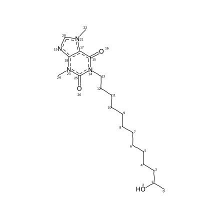 CC(O)CCCCCCCCCCCn1c(=O)c2c(ncn2C)n(C)c1=O